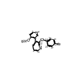 COc1ccncc1-c1cccnc1Oc1ccc(Br)cc1